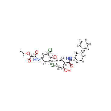 CCOC(=O)C(=O)Nc1cc(Cl)c(Oc2ccc(O)c(C(=O)Nc3cccc(-c4ccccc4)c3)c2)c(Cl)c1